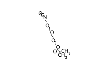 C=C(C)C(=O)OCCOCCOCCOCCN=C=O